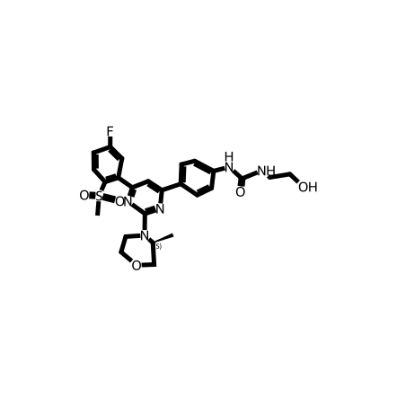 C[C@H]1COCCN1c1nc(-c2ccc(NC(=O)NCCO)cc2)cc(-c2cc(F)ccc2S(C)(=O)=O)n1